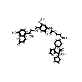 COc1cc(NC(=O)OCCN(C)[C@H]2CC[C@H](c3ccsc3[C@@](O)(C(=O)O)C3CCCC3)CC2)c(Cl)cc1CNC[C@H](O)c1ccc(O)c2[nH]c(=O)ccc12